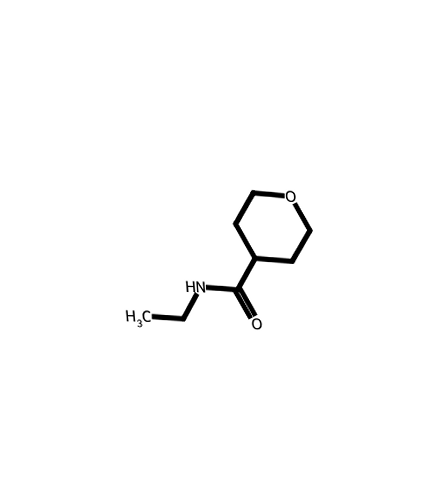 CCNC(=O)C1CCOCC1